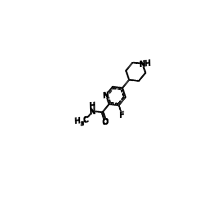 CNC(=O)c1ncc(C2CCNCC2)cc1F